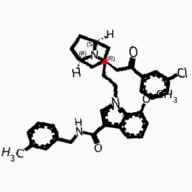 COc1cccc2c(C(=O)NCc3cccc(C)c3)cn(CCCN3[C@@H]4CC[C@H]3C[C@@H](CC(=O)c3cccc(Cl)c3)C4)c12